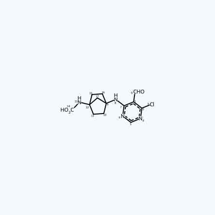 O=Cc1c(Cl)ncnc1NC12CCC(NC(=O)O)(CC1)C2